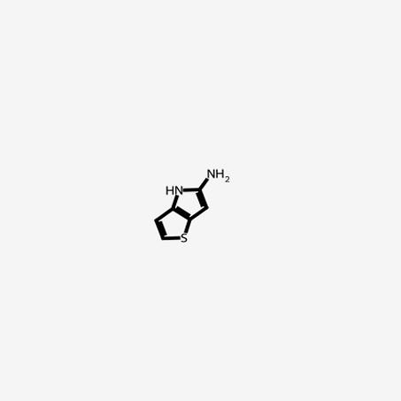 Nc1cc2sccc2[nH]1